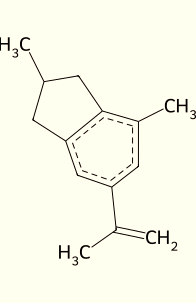 C=C(C)c1cc(C)c2c(c1)CC(C)C2